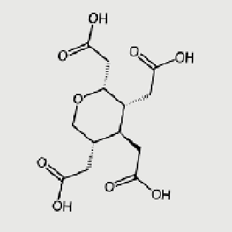 O=C(O)C[C@@H]1CO[C@H](CC(=O)O)[C@H](CC(=O)O)[C@H]1CC(=O)O